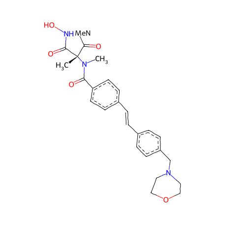 CNC(=O)[C@@](C)(C(=O)NO)N(C)C(=O)c1ccc(C=Cc2ccc(CN3CCOCC3)cc2)cc1